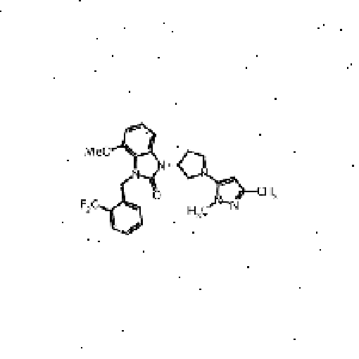 COc1cccc2c1n(Cc1ccccc1C(F)(F)F)c(=O)n2[C@@H]1CCN(c2cc(C)nn2C)C1